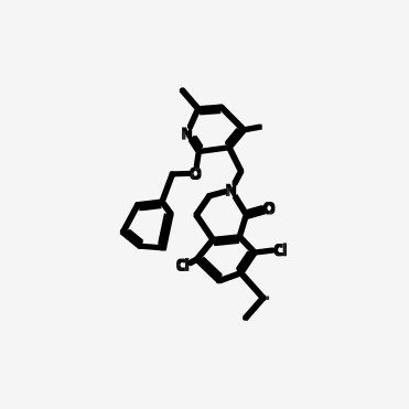 C[CH]c1cc(Cl)c2c(c1Cl)C(=O)N(Cc1c(C)cc(C)nc1OCc1ccccc1)CC2